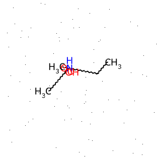 CCCCCCCC/C=C\CCCCCCCCCCCCCC(=O)NC(COC)[C@H](O)/C=C/CCCCCCCCCCCCC